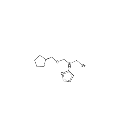 CC(C)C[SiH](COCC1CCCC1)c1ccco1